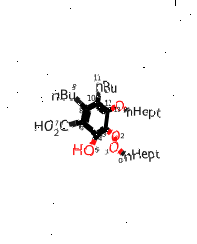 CCCCCCCOOc1c(O)c(C(=O)O)c(CCCC)c(CCCC)c1OCCCCCCC